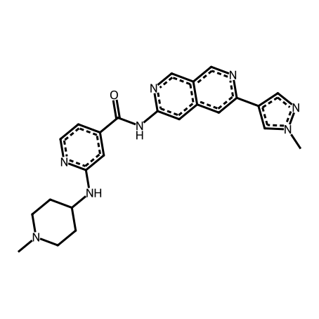 CN1CCC(Nc2cc(C(=O)Nc3cc4cc(-c5cnn(C)c5)ncc4cn3)ccn2)CC1